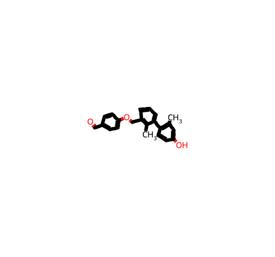 Cc1cc(O)ccc1-c1cccc(COc2ccc(C=O)cc2)c1C